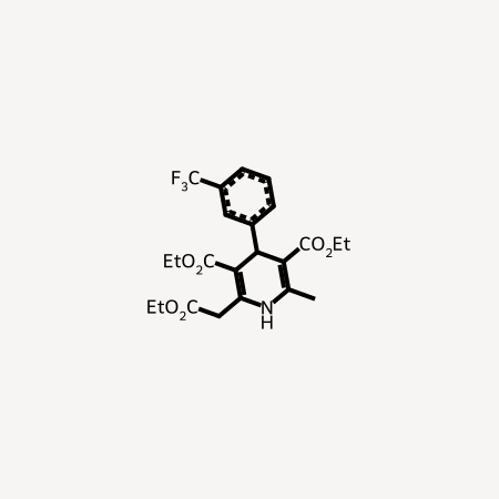 CCOC(=O)CC1=C(C(=O)OCC)C(c2cccc(C(F)(F)F)c2)C(C(=O)OCC)=C(C)N1